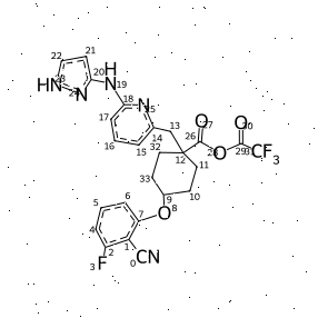 N#Cc1c(F)cccc1OC1CCC(Cc2cccc(Nc3cc[nH]n3)n2)(C(=O)OC(=O)C(F)(F)F)CC1